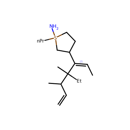 C=CC(C)C(C)(CC)/C(=C\C)C1CCS(N)(CCC)C1